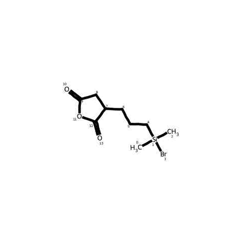 C[Si](C)(Br)CCCC1CC(=O)OC1=O